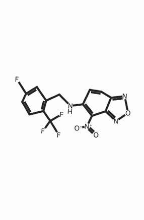 O=[N+]([O-])c1c(NCc2cc(F)ccc2C(F)(F)F)ccc2nonc12